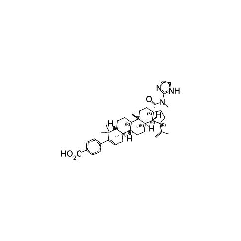 C=C(C)[C@@H]1CC[C@]2(C(=O)N(C)c3ncc[nH]3)CC[C@]3(C)[C@H](CC[C@@H]4[C@@]5(C)CC=C(c6ccc(C(=O)O)cc6)C(C)(C)[C@@H]5CC[C@]43C)[C@@H]12